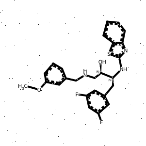 COc1cccc(CNC[C@@H](O)[C@H](Cc2cc(F)cc(F)c2)Nc2nc3ccccc3s2)c1